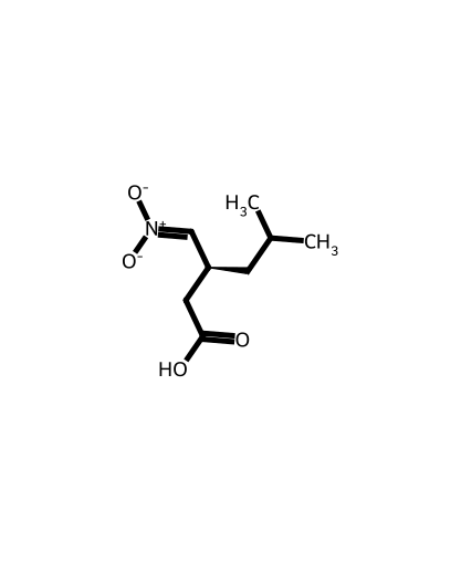 CC(C)C[C@H](C=[N+]([O-])[O-])CC(=O)O